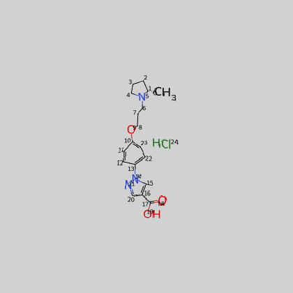 C[C@H]1CCCN1CCCOc1ccc(-n2cc(C(=O)O)cn2)cc1.Cl